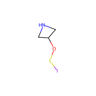 ISOC1CNC1